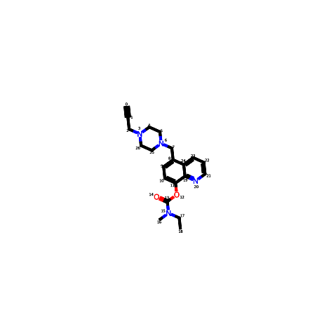 C#CCN1CCN(Cc2ccc(OC(=O)N(C)CC)c3ncccc23)CC1